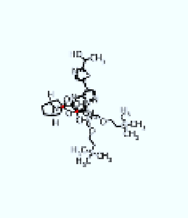 CC(O)c1ncc(-c2cnn3c(N(COCC[Si](C)(C)C)COCC[Si](C)(C)C)cc([C@H]4C[C@H]5CC[C@@H](C4)N5C(=O)OC(C)(C)C)nc23)s1